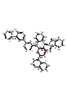 c1cc(-c2ccc3sc4ccccc4c3c2)cc(N(c2cccc(-c3cccc4ccccc34)c2)c2ccccc2-c2cccc3c2sc2ccccc23)c1